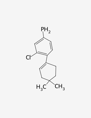 CC1(C)CC=C(c2ccc(P)cc2Cl)CC1